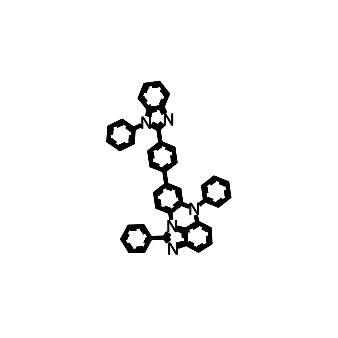 c1ccc(-c2nc3cccc4c3n2-c2ccc(-c3ccc(-c5nc6ccccc6n5-c5ccccc5)cc3)cc2N4c2ccccc2)cc1